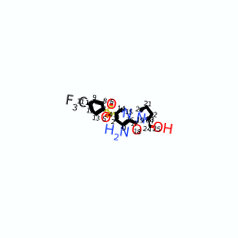 Nc1cc(S(=O)(=O)c2ccc(C(F)(F)F)cc2)cnc1C(=O)N1CCC[C@H]1CO